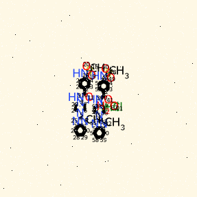 Cl.Cl.Cn1c(N2CCN(NC(=O)c3ccc(NS(C)(=O)=O)cc3)CC2)nc2ccccc21.Cn1c(N2CCN(NC(=O)c3ccc(NS(C)(=O)=O)cc3)CC2)nc2ccccc21.O